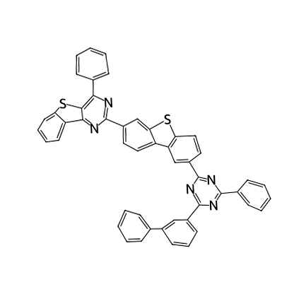 c1ccc(-c2cccc(-c3nc(-c4ccccc4)nc(-c4ccc5sc6cc(-c7nc(-c8ccccc8)c8sc9ccccc9c8n7)ccc6c5c4)n3)c2)cc1